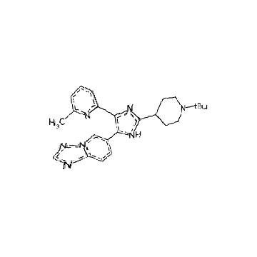 Cc1cccc(-c2nc(C3CCN(C(C)(C)C)CC3)[nH]c2-c2ccc3ncnn3c2)n1